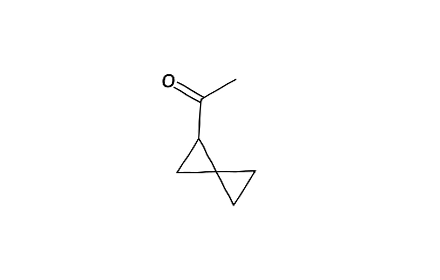 CC(=O)C1CC12CC2